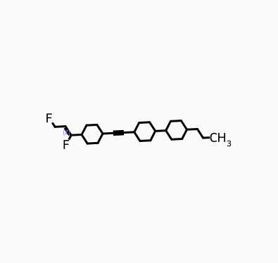 CCCC1CCC(C2CCC(C#CC3CCC(/C(F)=C/CF)CC3)CC2)CC1